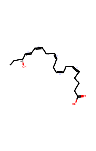 CC[C@H](O)/C=C/C=C\C/C=C\C/C=C\C/C=C\CCCC(=O)O